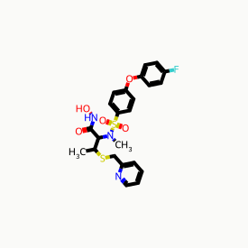 CC(SCc1ccccn1)C(C(=O)NO)N(C)S(=O)(=O)c1ccc(Oc2ccc(F)cc2)cc1